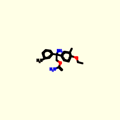 Bc1cccc(C(N)(COC(=C)N)c2ccc(OCC)c(C)c2)c1